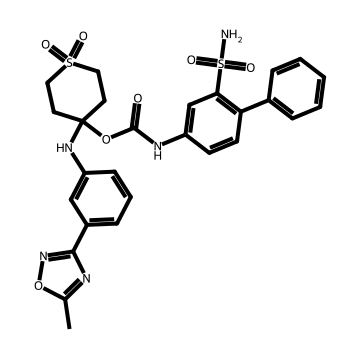 Cc1nc(-c2cccc(NC3(OC(=O)Nc4ccc(-c5ccccc5)c(S(N)(=O)=O)c4)CCS(=O)(=O)CC3)c2)no1